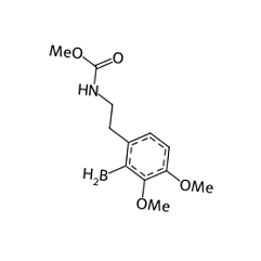 Bc1c(CCNC(=O)OC)ccc(OC)c1OC